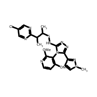 COc1ccnc(OC)c1-n1c(NSC(C)C(C)c2ncc(Cl)cn2)nnc1-c1ccn(C)n1